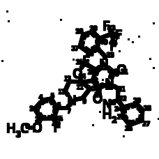 COc1cccc(CN2CCC3(CC2)OCc2c3c(=O)n(CC(N)c3ccccc3)c(=O)n2Cc2c(F)cccc2C(F)(F)F)c1F